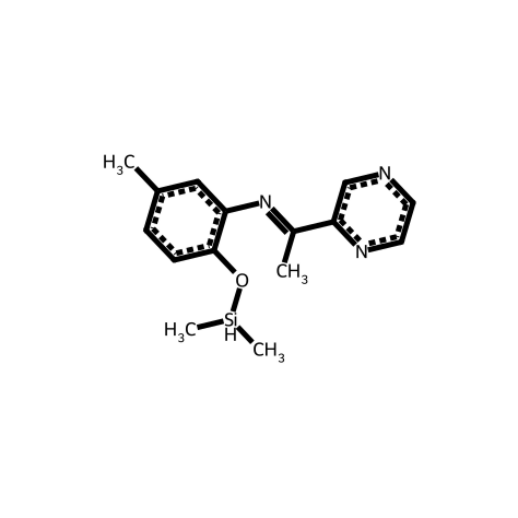 CC(=Nc1cc(C)ccc1O[SiH](C)C)c1cnccn1